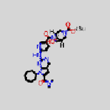 CN(C)C(=O)c1cc2cnc(Nc3ccc(C(=O)N4C[C@H]5CN(C(=O)OC(C)(C)C)C[C@@H]4C5O)cn3)nc2n1C1CCCCCC1